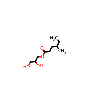 CCC(C)CCC(=O)OCC(O)CO